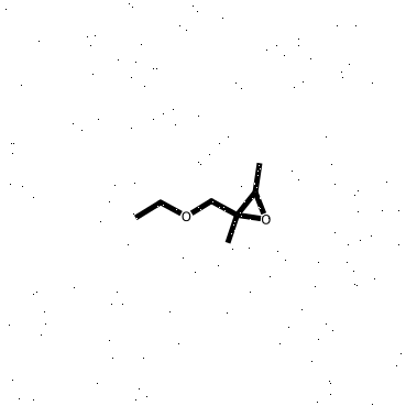 CCOCC1(C)OC1C